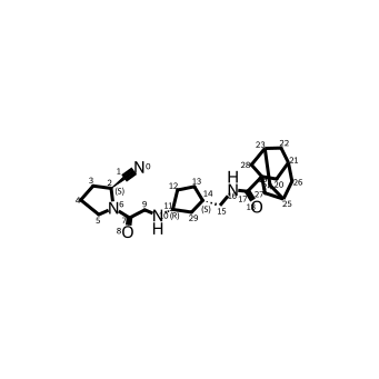 N#C[C@@H]1CCCN1C(=O)CN[C@@H]1CC[C@H](CNC(=O)C23CC4CC(CC(C4)C2)C3)C1